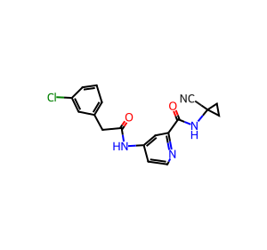 N#CC1(NC(=O)c2cc(NC(=O)Cc3cccc(Cl)c3)ccn2)CC1